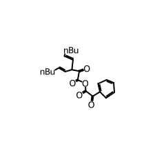 CCCCC=CC(C=CCCCC)C(=O)C(=O)OC(=O)C(=O)c1ccccc1